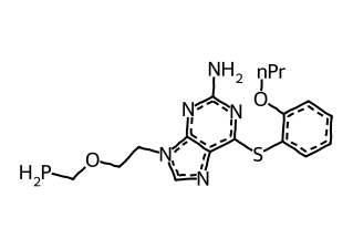 CCCOc1ccccc1Sc1nc(N)nc2c1ncn2CCOCP